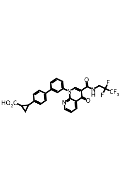 O=C(NCC(F)(F)C(F)(F)F)c1cn(-c2cccc(-c3ccc(C4CC4C(=O)O)cc3)c2)c2ncccc2c1=O